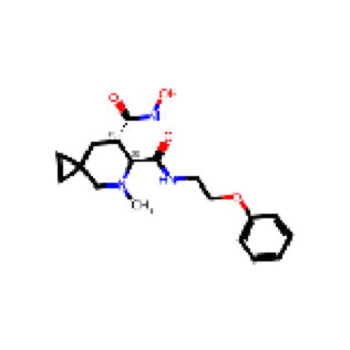 CN1CC2(CC2)C[C@H](C(=O)NO)[C@H]1C(=O)NCCOc1ccccc1